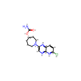 NC(=O)O[C@H]1CCCN(c2cnc3nc(Cl)ccc3n2)CC1